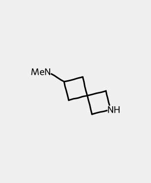 CNC1CC2(CNC2)C1